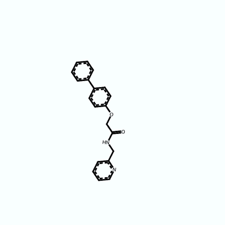 O=C(COc1ccc(-c2ccccc2)cc1)NCc1ccccn1